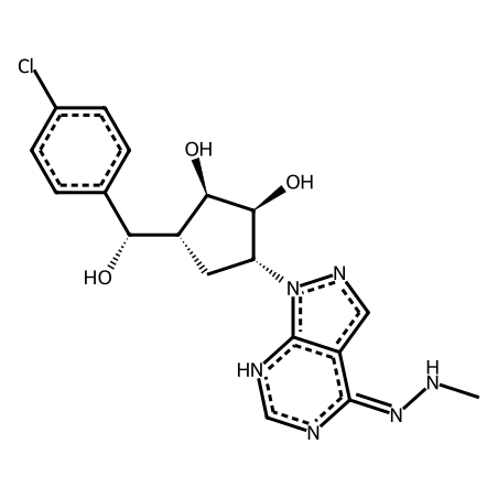 CN/N=c1/nc[nH]c2c1cnn2[C@@H]1C[C@H]([C@H](O)c2ccc(Cl)cc2)[C@@H](O)[C@H]1O